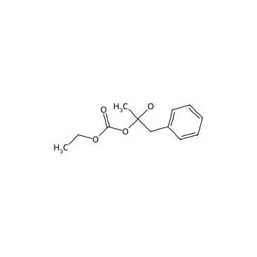 CCOC(=O)OC(C)([O])Cc1ccccc1